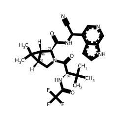 CC(C)(C)[C@H](NC(=O)C(F)(F)F)C(=O)N1C[C@H]2[C@@H]([C@H]1C(=O)NC(C#N)c1cncc3[nH]ccc13)C2(C)C